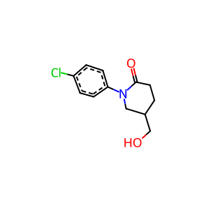 O=C1CCC(CO)CN1c1ccc(Cl)cc1